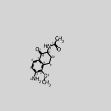 COc1c(N)ccc2c1CCC(NC(C)=O)C2=O